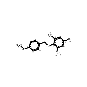 COc1ccc(COc2c(C)cc(Br)cc2C)cc1